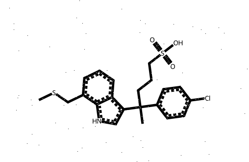 CSCc1cccc2c(C(C)(CCCS(=O)(=O)O)c3ccc(Cl)cc3)c[nH]c12